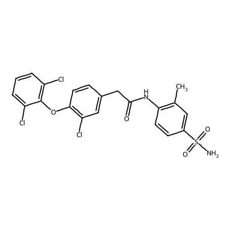 Cc1cc(S(N)(=O)=O)ccc1NC(=O)Cc1ccc(Oc2c(Cl)cccc2Cl)c(Cl)c1